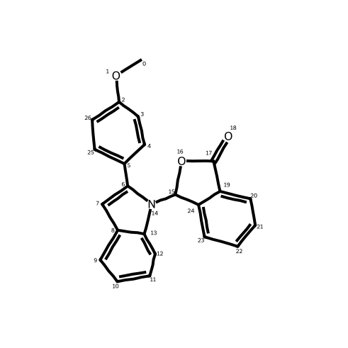 COc1ccc(-c2cc3ccccc3n2C2OC(=O)c3ccccc32)cc1